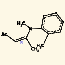 CC(=O)/C=C(/C)N(C)c1ccccc1C